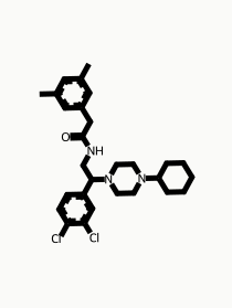 Cc1cc(C)cc(CC(=O)NCC(c2ccc(Cl)c(Cl)c2)N2CCN(C3CCCCC3)CC2)c1